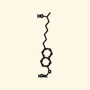 CCCCCCCCCCOc1ccc2cc(CCCCCCC(C)O)ccc2c1